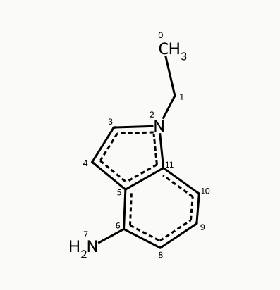 CCn1ccc2c(N)cccc21